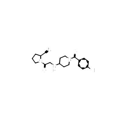 N#CC1CCCN1C(=O)CNC1CCN(C(=O)c2ccc(Cl)cc2)CC1